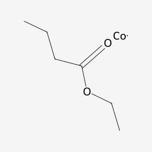 CCCC(=O)OCC.[Co]